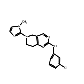 Cn1ccnc1N1CCc2nc(Nc3cccc(Cl)c3)ncc2C1